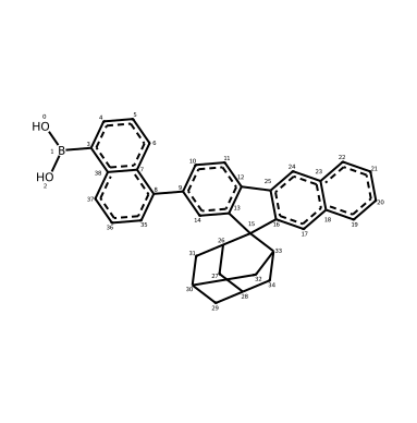 OB(O)c1cccc2c(-c3ccc4c(c3)C3(c5cc6ccccc6cc5-4)C4CC5CC(C4)CC3C5)cccc12